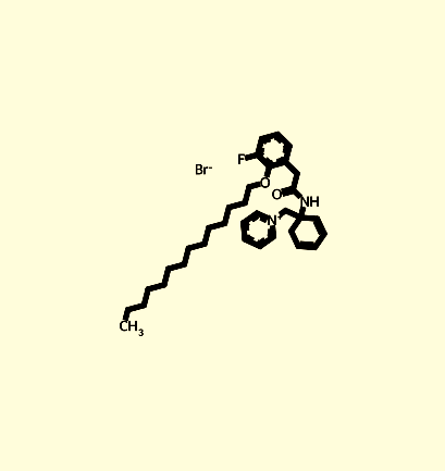 CCCCCCCCCCCCCCOc1c(F)cccc1CC(=O)NC1(C[n+]2ccccc2)C=CC=CC1.[Br-]